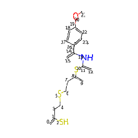 C=C(S)CCSCCC(=C)SC(=C)NC(=C)c1ccc(OC)cc1